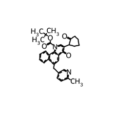 Cc1ccc(Cc2cc3c(=O)c(C4CCCCC4=O)cn(C(=O)OC(C)(C)C)c3c3ccccc23)cn1